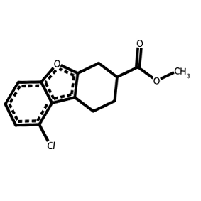 COC(=O)C1CCc2c(oc3cccc(Cl)c23)C1